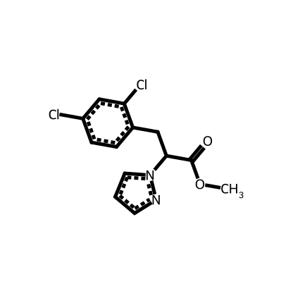 COC(=O)C(Cc1ccc(Cl)cc1Cl)n1cccn1